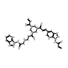 C=CC(=O)On1nnc2cc(/C=C/C(=O)N3CN(C(=O)C=C)CN(C(=O)CCSCC(=O)On4nnc5cccnc54)C3)cnc21